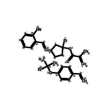 C=C(C)C(=O)OC1(CC)CCCC1.C=Cc1ccc(OC(C)(C)CC)cc1.C=Cc1ccccc1O